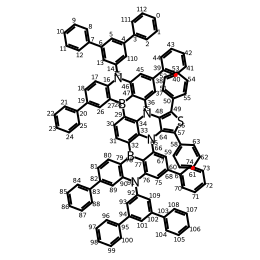 c1ccc(-c2cc(-c3ccccc3)cc(N3c4ccc(-c5ccccc5)cc4B4c5ccc6c7c5N(c5cc(-c8ccccc8)cc3c54)c3c(-c4ccccc4)sc(-c4ccccc4)c3N7c3cc(-c4ccccc4)cc4c3B6c3ccc(-c5ccccc5)cc3N4c3cc(-c4ccccc4)cc(-c4ccccc4)c3)c2)cc1